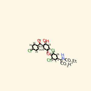 CCOC(=O)NC(C(=O)O)c1cc(Cl)c(Oc2ccc(O)c(C(=O)c3ccc(Cl)cc3)c2)c(Cl)c1